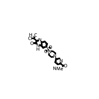 CNC(=O)c1ccc(N2CCN(S(=O)(=O)c3ccc4nc(C(C)Cl)c(=O)[nH]c4c3)CC2)cn1